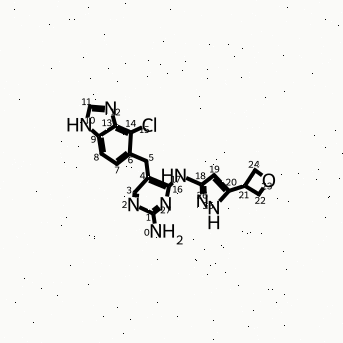 Nc1ncc(Cc2ccc3[nH]cnc3c2Cl)c(Nc2cc(C3COC3)[nH]n2)n1